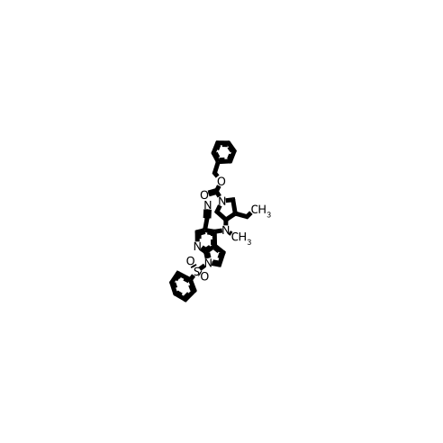 CCC1CN(C(=O)OCc2ccccc2)CC1N(C)c1c(C#N)cnc2c1ccn2S(=O)(=O)c1ccccc1